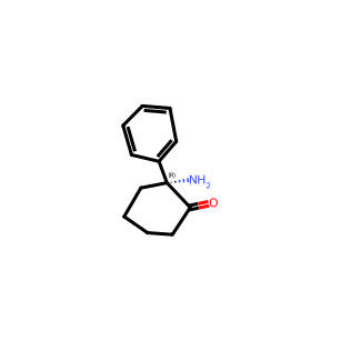 N[C@@]1(c2ccccc2)CCCCC1=O